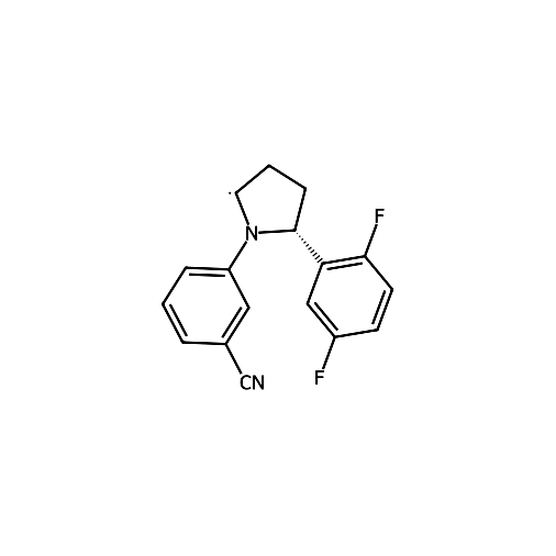 N#Cc1cccc(N2[CH]CC[C@@H]2c2cc(F)ccc2F)c1